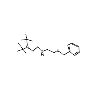 CC(C)(C)N(CCNCCSCc1ccccc1)C(C)(C)C